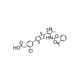 Cc1nsc(-c2cc3sc(-c4ccc(CC(=O)O)c(Cl)c4)cc3s2)c1NC(=O)O[C@H](C)c1ccccc1